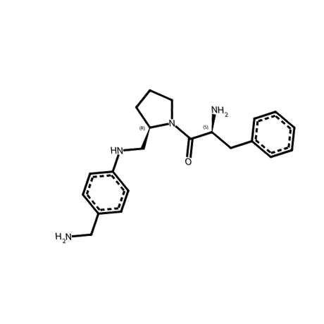 NCc1ccc(NC[C@H]2CCCN2C(=O)[C@@H](N)Cc2ccccc2)cc1